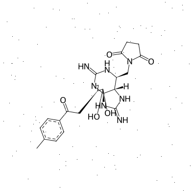 Cc1ccc(C(=O)C[C@H]2CN3C(=N)N[C@@H](CN4C(=O)CCC4=O)[C@@H]4NC(=N)N[C@@]43C2(O)O)cc1